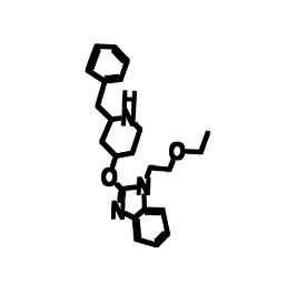 CCOCCn1c(OC2CCNC(Cc3ccccc3)C2)nc2ccccc21